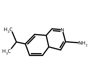 CC(C)C1=CC2C=NC(N)=CC2C=C1